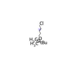 CC(C)(C)[Si](C)(C)OCC/C=C/CCl